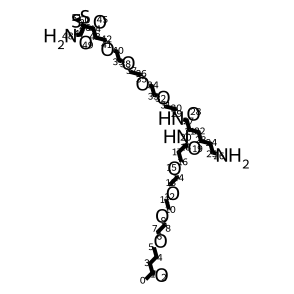 CC(=O)CCCOCCOCCOCCOCCC(=O)NC(CCCCN)C(=O)NCCOCCOCCOCCOCCC(=O)C1(C(N)=O)SS1